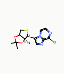 CC1(C)OC2CS[C@@H](c3cnc4c(Cl)nccn34)[C@H]2O1